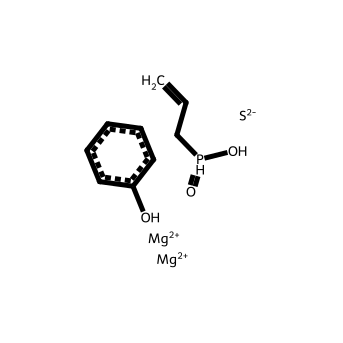 C=CC[PH](=O)O.Oc1ccccc1.[Mg+2].[Mg+2].[S-2]